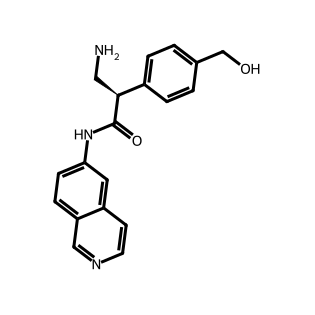 NC[C@H](C(=O)Nc1ccc2cnccc2c1)c1ccc(CO)cc1